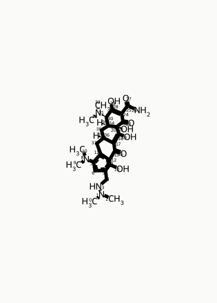 CN(C)NCc1cc(N(C)C)c2c(c1O)C(=O)C1=C(O)[C@]3(O)C(=O)C(C(N)=O)=C(O)[C@@H](N(C)C)[C@@H]3C[C@@H]1C2